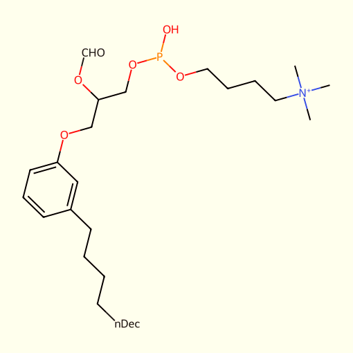 CCCCCCCCCCCCCCc1cccc(OCC(COP(O)OCCCC[N+](C)(C)C)OC=O)c1